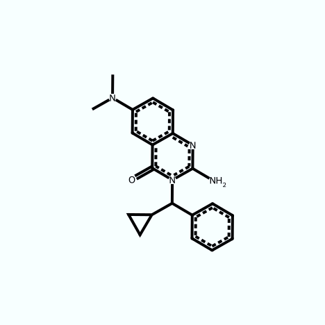 CN(C)c1ccc2nc(N)n(C(c3ccccc3)C3CC3)c(=O)c2c1